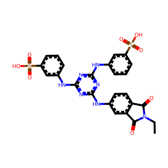 CCN1C(=O)c2ccc(Nc3nc(Nc4cccc(S(=O)(=O)O)c4)nc(Nc4cccc(S(=O)(=O)O)c4)n3)cc2C1=O